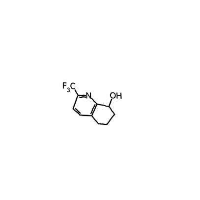 OC1CCCc2ccc(C(F)(F)F)nc21